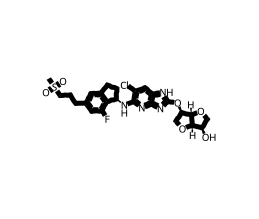 CS(=O)(=O)CCCc1cc(F)c2c(c1)CC[C@@H]2Nc1nc2nc(O[C@@H]3CO[C@H]4[C@@H]3OC[C@H]4O)[nH]c2cc1Cl